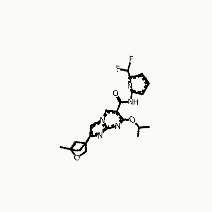 CC(C)Oc1nc2nc(C34COC(C)(C3)C4)cn2cc1C(=O)Nc1cccc(C(F)F)n1